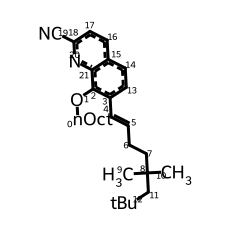 CCCCCCCCOc1c(C=CCCC(C)(C)CC(C)(C)C)ccc2ccc(C#N)nc12